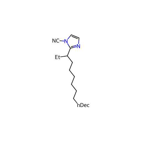 CCCCCCCCCCCCCCCCC(CC)c1nccn1C#N